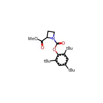 COC(=O)C1CCN1C(=O)Oc1c(C(C)(C)C)cc(C(C)(C)C)cc1C(C)(C)C